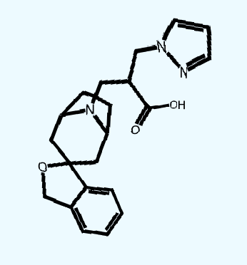 O=C(O)C(CN1C2CCC1CC1(C2)OCc2ccccc21)Cn1cccn1